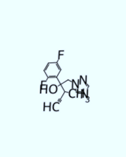 C#CC(C)C(O)(Cn1cncn1)c1cc(F)ccc1F